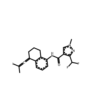 CC(I)=C=C1CCCc2c(NC(=O)c3cn(C)nc3C(F)F)cccc21